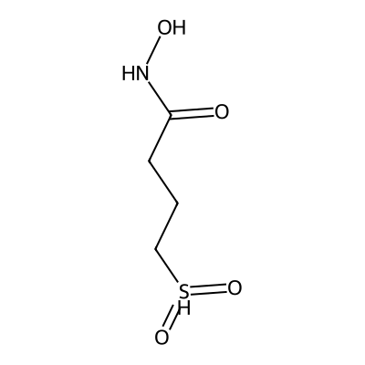 O=C(CCC[SH](=O)=O)NO